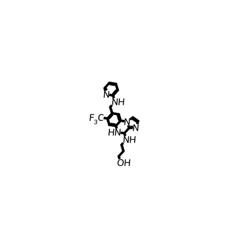 OCCCNC1Nc2cc(C(F)(F)F)c(CNc3ccccn3)cc2-n2ccnc21